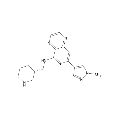 Cn1cc(-c2cc3nccnc3c(NC[C@H]3CCCNC3)n2)cn1